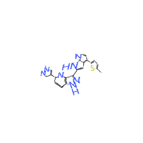 Cc1ccc(-c2ccnc3[nH]c(-c4n[nH]c5ccc(-c6cnn(C)c6)nc45)cc23)s1